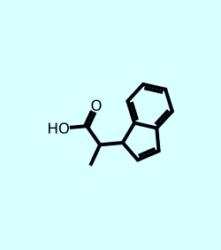 CC(C(=O)O)C1C=Cc2ccccc21